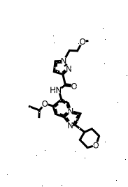 COCCn1ccc(C(=O)Nc2cn3cc(C4CCOCC4)nc3cc2OC(C)C)n1